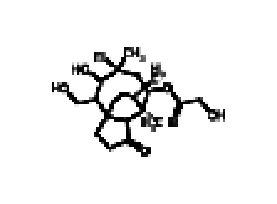 CC[C@@]1(C)C[C@@H](OC(=O)CO)[C@@]2(C)C3C(=O)CCC3(CC[C@H]2C)C(CO)C1O